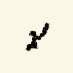 CC(C)(C)OC(=O)NCCCN(CCCCN(CCCNC(=O)OC(C)(C)C)C(=O)OC(C)(C)C)C(=O)CCC(=O)OC1CCC2C(=CCC3C4CCCC4CCC23)C1